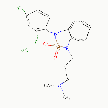 CN(C)CCCN1c2ccccc2N(c2ccc(F)cc2F)S1(=O)=O.Cl